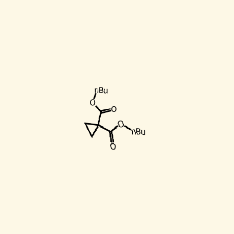 CCCCOC(=O)C1(C(=O)OCCCC)CC1